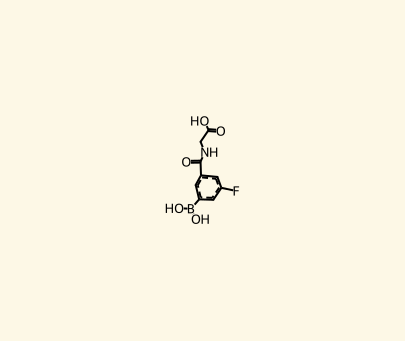 O=C(O)CNC(=O)c1cc(F)cc(B(O)O)c1